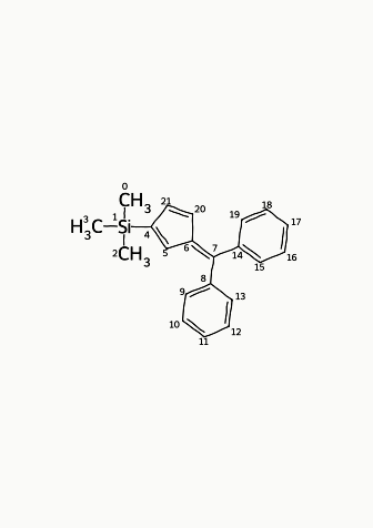 C[Si](C)(C)C1=CC(=C(c2ccccc2)c2ccccc2)C=C1